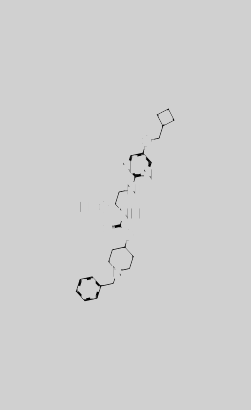 C[C@H](CNc1ncc(OCC2CCC2)cn1)NC(=O)OC1CCN(Cc2ccccc2)CC1